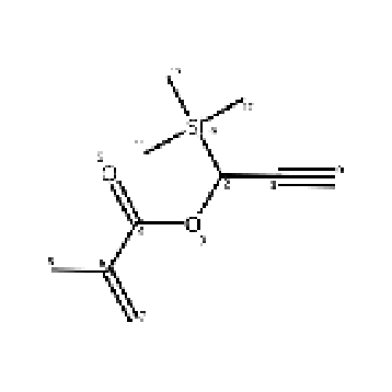 C#CC(OC(=O)C(=C)C)[Si](C)(C)C